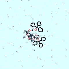 CC(C)[Si](OCCOC(c1ccccc1)(c1ccccc1)c1ccccc1)(O[Si](O[Si](O[Si](OCCOC(c1ccccc1)(c1ccccc1)c1ccccc1)(C(C)C)C(C)C)(C(C)C)C(C)C)(C(C)C)C(C)C)C(C)C